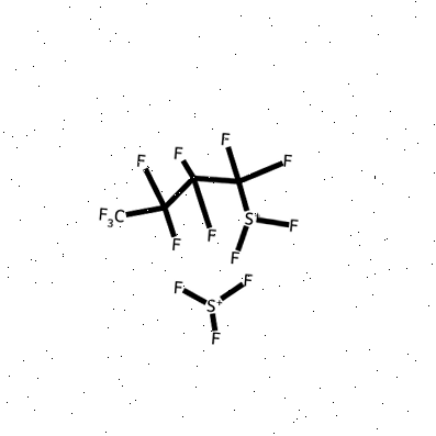 F[S+](F)C(F)(F)C(F)(F)C(F)(F)C(F)(F)F.F[S+](F)F